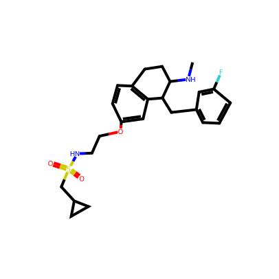 CNC1CCc2ccc(OCCNS(=O)(=O)CC3CC3)cc2C1Cc1cccc(F)c1